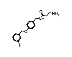 NCCC(=O)NCc1ccc(OCc2cccc(F)c2)cc1